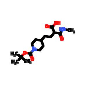 CNC(=O)C(CCC1CCN(C(=O)OC(C)(C)C)CC1)C(=O)O